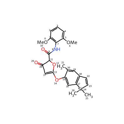 COc1cccc(OC)c1NC(=O)C1OC(Oc2cc3c(cc2C)C=C[Si]3(C)C)=CC1=O